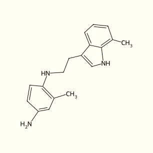 Cc1cc(N)ccc1NCCc1c[nH]c2c(C)cccc12